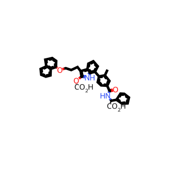 Cc1cc(C(=O)N[C@H](C(=O)O)c2ccccc2)ccc1-c1cccc2c(CCCOc3cccc4ccccc34)c(OC(=O)O)[nH]c12